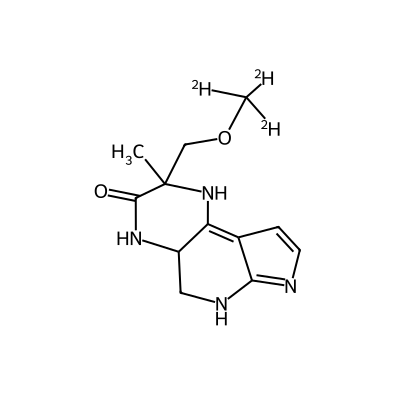 [2H]C([2H])([2H])OCC1(C)NC2=C3C=CN=C3NCC2NC1=O